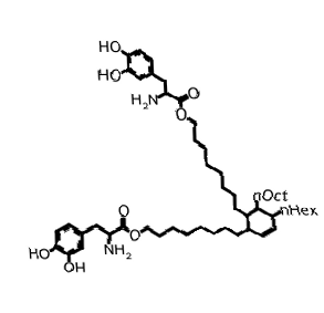 CCCCCCCCC1C(CCCCCC)C=CC(CCCCCCCCOC(=O)C(N)Cc2ccc(O)c(O)c2)C1CCCCCCCCOC(=O)C(N)Cc1ccc(O)c(O)c1